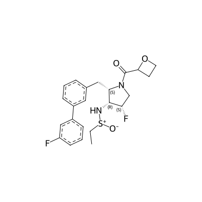 CC[S+]([O-])N[C@H]1[C@@H](F)CN(C(=O)C2CCO2)[C@H]1Cc1cccc(-c2cccc(F)c2)c1